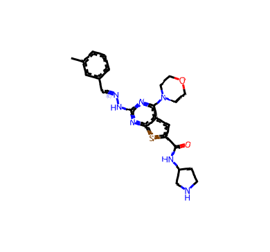 Cc1cccc(/C=N/Nc2nc(N3CCOCC3)c3cc(C(=O)NC4CCNC4)sc3n2)c1